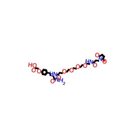 NC(=O)[C@H](CCc1ccc(OCC(=O)O)cc1)NC(=O)CCOCCOCCOCCOCCNC(=O)CCN1C(=O)C=CC1=O